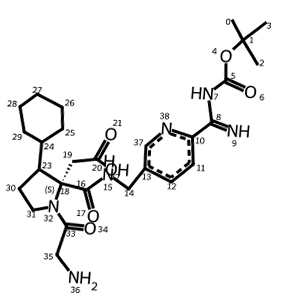 CC(C)(C)OC(=O)NC(=N)c1ccc(CNC(=O)[C@]2(CC(=O)O)C(C3CCCCC3)CCN2C(=O)CN)cn1